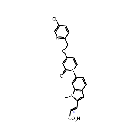 Cn1c(/C=C/C(=O)O)cc2ccc(-n3ccc(OCc4ccc(Cl)cn4)cc3=O)cc21